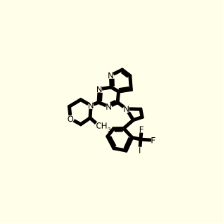 CC1COCCN1c1nc(N2CCC2c2ccccc2C(F)(F)I)c2cccnc2n1